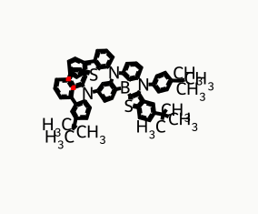 CC(C)(C)c1ccc(N2c3cccc4c3B(c3ccc(N(c5ccccc5)c5ccc(C(C)(C)C)cc5-c5ccccc5)cc3N4c3cccc4c3sc3ccccc34)c3sc4ccc(C(C)(C)C)cc4c32)cc1